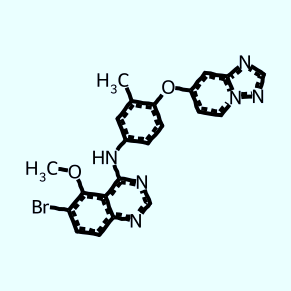 COc1c(Br)ccc2ncnc(Nc3ccc(Oc4ccn5ncnc5c4)c(C)c3)c12